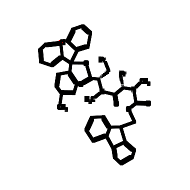 Cc1ccc(C(OC(=O)[C@H](CC(C)C)N(C)C(=O)[C@H](C(C)C)N(C)C(=O)OCC2c3ccccc3-c3ccccc32)(c2ccccc2)c2ccccc2Cl)cc1